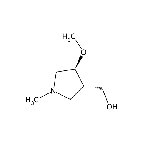 CO[C@@H]1CN(C)C[C@H]1CO